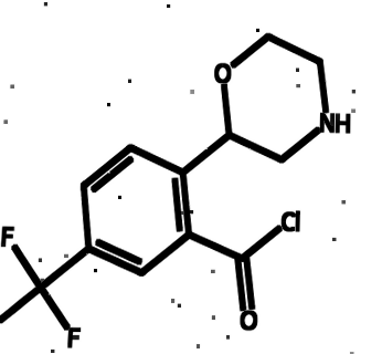 O=C(Cl)c1cc(C(F)(F)F)ccc1C1CNCCO1